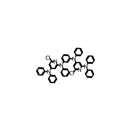 Clc1cc(N(c2ccccc2)c2cccc(N(c3ccccc3)c3cc(N(c4ccccc4)c4ccccc4)cc(Cl)n3)c2)cc(N(c2ccccc2)c2ccccc2)n1